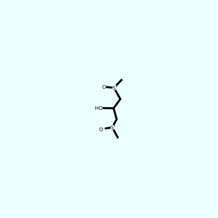 C[S+]([O-])CC(O)C[S+](C)[O-]